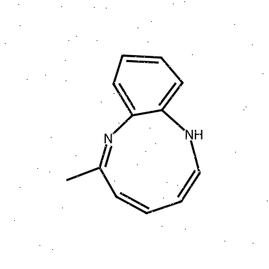 Cc1cccc[nH]c2ccccc2n1